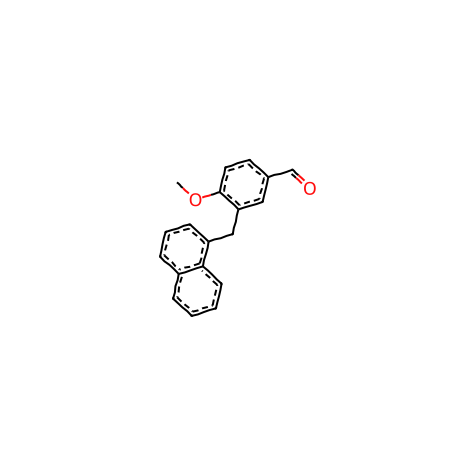 COc1ccc(C=O)cc1Cc1cccc2ccccc12